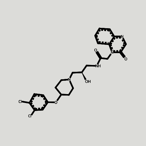 O=C(Cn1c(=O)cnc2ccccc21)NC[C@@H](O)CN1CCC(Oc2ccc(Cl)c(Cl)c2)CC1